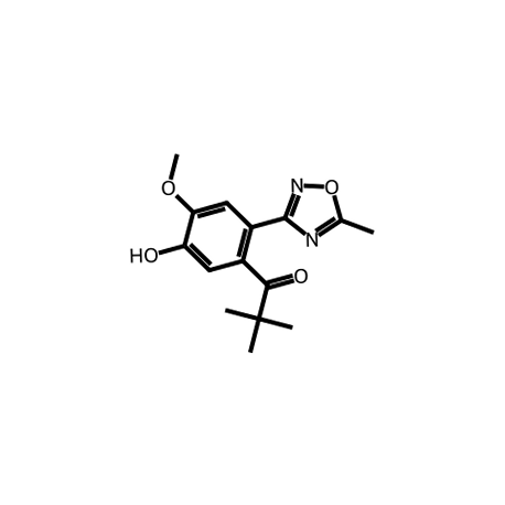 COc1cc(-c2noc(C)n2)c(C(=O)C(C)(C)C)cc1O